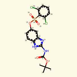 CC(C)(C)OC(=O)Nc1nc2cc(OS(=O)(=O)c3c(Cl)cccc3Cl)ccc2[nH]1